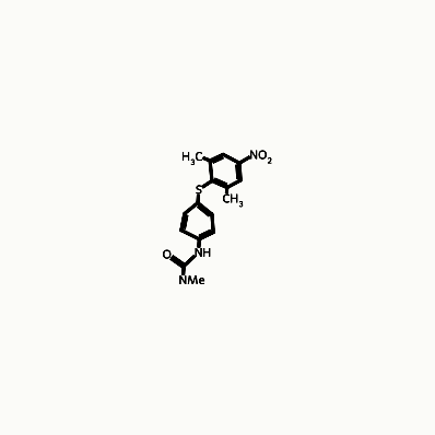 CNC(=O)Nc1ccc(Sc2c(C)cc([N+](=O)[O-])cc2C)cc1